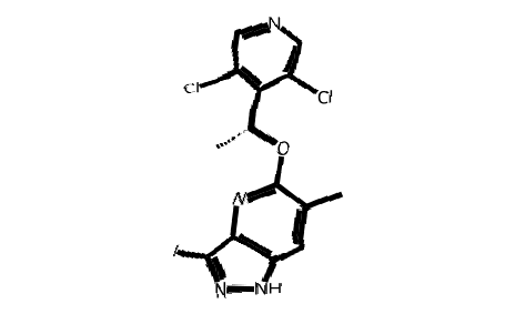 Cc1cc2[nH]nc(I)c2nc1O[C@H](C)c1c(Cl)cncc1Cl